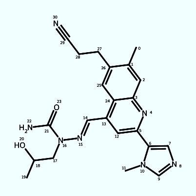 Cc1cc2nc(-c3cncn3C)cc(/C=N/N(CC(C)O)C(N)=O)c2cc1CCC#N